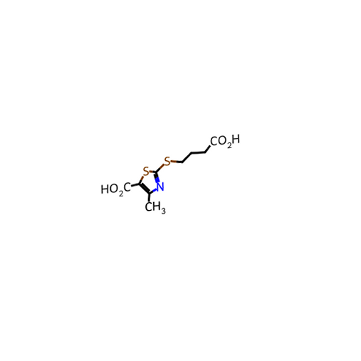 Cc1nc(SCCCC(=O)O)sc1C(=O)O